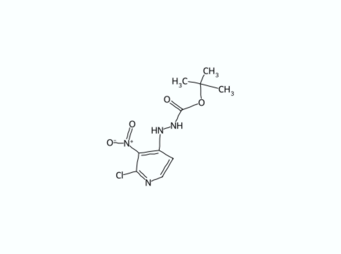 CC(C)(C)OC(=O)NNc1ccnc(Cl)c1[N+](=O)[O-]